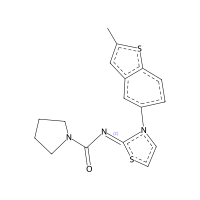 Cc1cc2cc(-n3ccs/c3=N\C(=O)N3CCCC3)ccc2s1